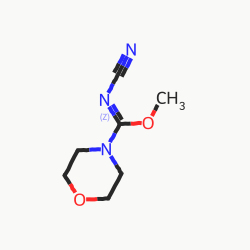 CO/C(=N\C#N)N1CCOCC1